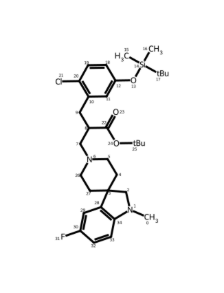 CN1CC2(CCN(CC(Cc3cc(O[Si](C)(C)C(C)(C)C)ccc3Cl)C(=O)OC(C)(C)C)CC2)c2cc(F)ccc21